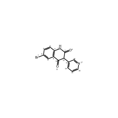 O=C1Nc2ccc(Br)cc2C(=O)C1c1cccnc1